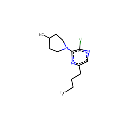 N#CC1CCN(c2nc(CCCC(F)(F)F)cnc2Cl)CC1